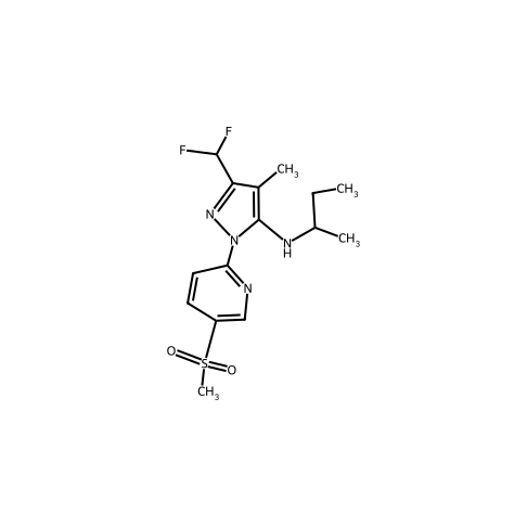 CCC(C)Nc1c(C)c(C(F)F)nn1-c1ccc(S(C)(=O)=O)cn1